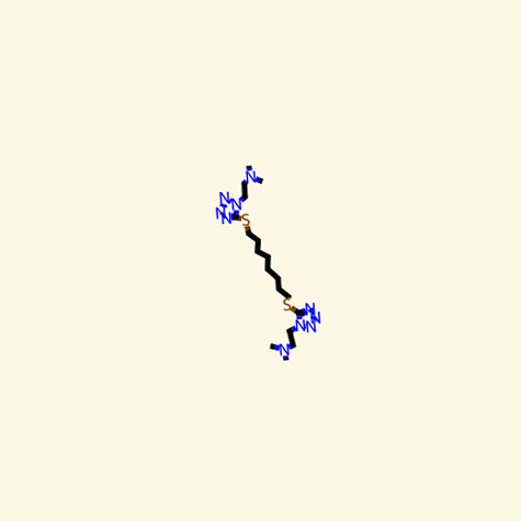 CN(C)CCn1nnnc1SCCCCCCCCSc1nnnn1CCN(C)C